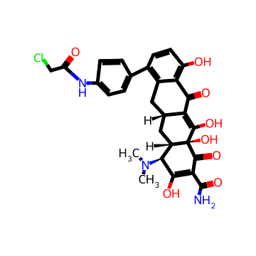 CN(C)[C@@H]1C(O)=C(C(N)=O)C(=O)[C@@]2(O)C(O)=C3C(=O)c4c(O)ccc(-c5ccc(NC(=O)CCl)cc5)c4C[C@H]3C[C@@H]12